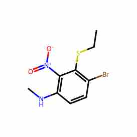 CCSc1c(Br)ccc(NC)c1[N+](=O)[O-]